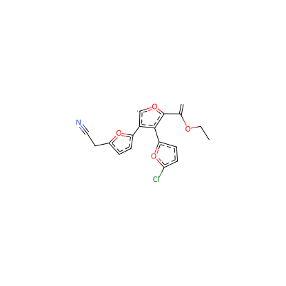 C=C(OCC)c1o[c]c(-c2ccc(CC#N)o2)c1-c1ccc(Cl)o1